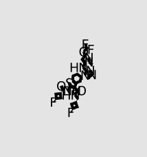 Cn1nc(OC(F)F)cc1Nc1nncn1[C@H]1CCc2sc(NC(=O)[C@H]3C[C@H](F)C3)c(C(=O)NC[C@H]3C[C@H](F)C3)c2C1